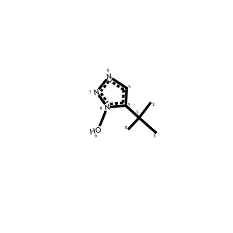 CC(C)(C)c1cnnn1O